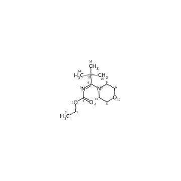 CCOC(=O)/N=C(\N1CCOCC1)C(C)(C)C